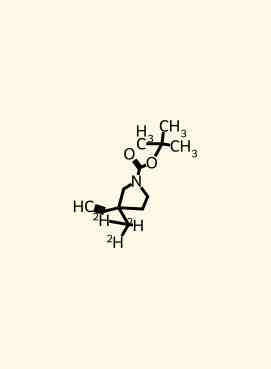 [2H]C([2H])([2H])C1(C#C)CCN(C(=O)OC(C)(C)C)C1